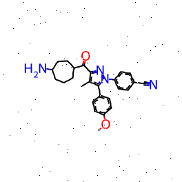 COc1ccc(-c2c(C)c(C(=O)C3CCCC(N)CC3)nn2-c2ccc(C#N)cc2)cc1